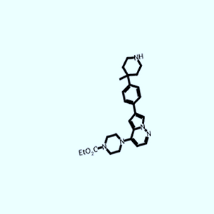 CCOC(=O)N1CCN(c2ccnn3cc(-c4ccc(C5(C)CCNCC5)cc4)cc23)CC1